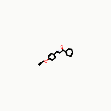 C#CCOc1ccc(/C=C/C(=O)c2ccccc2)cc1